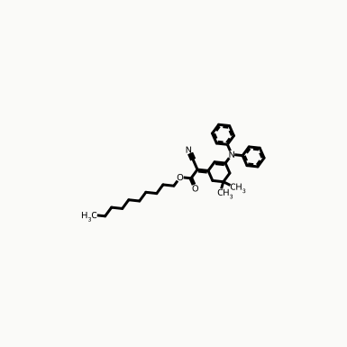 CCCCCCCCCCOC(=O)C(C#N)=C1C=C(N(c2ccccc2)c2ccccc2)CC(C)(C)C1